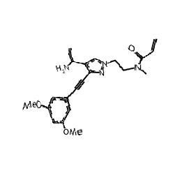 C=CC(=O)N(C)CCn1cc(C(=C)N)c(C#Cc2cc(OC)cc(OC)c2)n1